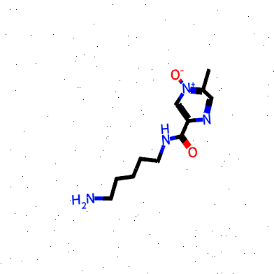 Cc1cnc(C(=O)NCCCCCN)c[n+]1[O-]